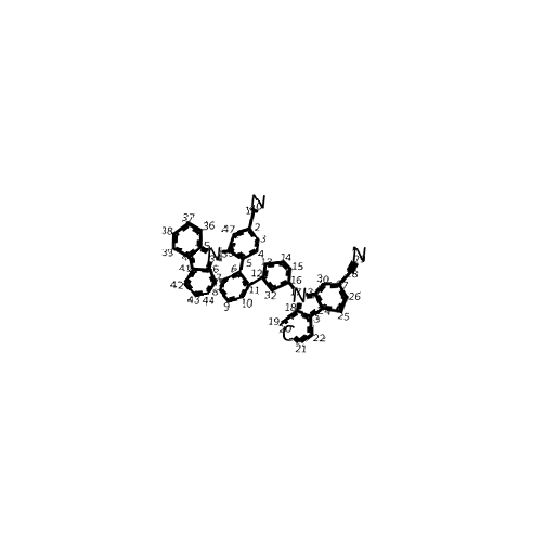 N#Cc1ccc(-c2ccccc2-c2cccc(-n3c4ccccc4c4ccc(C#N)cc43)c2)c(-n2c3ccccc3c3ccccc32)c1